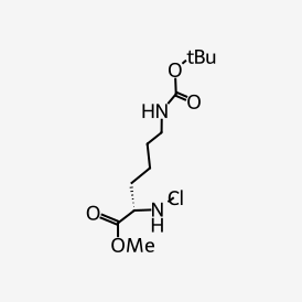 COC(=O)[C@H](CCCCNC(=O)OC(C)(C)C)NCl